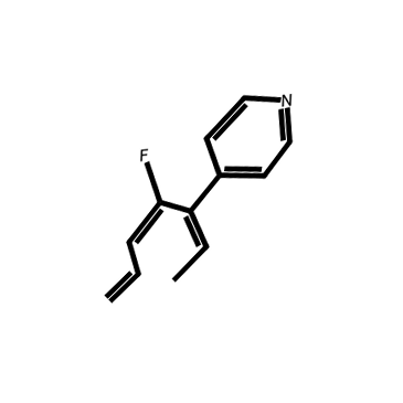 C=C/C=C(F)\C(=C/C)c1ccncc1